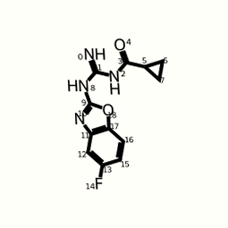 N=C(NC(=O)C1CC1)Nc1nc2cc(F)ccc2o1